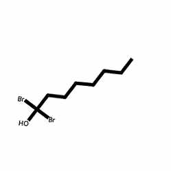 CCCCCCCC(O)(Br)Br